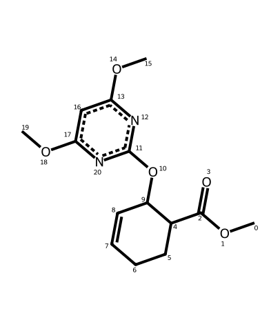 COC(=O)C1CCC=CC1Oc1nc(OC)cc(OC)n1